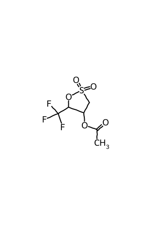 CC(=O)OC1CS(=O)(=O)OC1C(F)(F)F